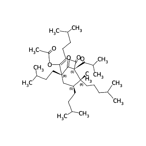 CC(=O)OC1=C(CCC(C)C)C(=O)[C@@]2(C(=O)C(C)C)C(=O)[C@]1(CCC(C)C)C[C@H](CCC(C)C)[C@@]2(C)CCCC(C)C